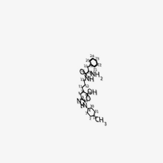 C[C@H]1CC[C@H](n2cnc(CC(CCCNC(=O)[C@@H](N)Cc3ccccc3)C(=O)O)c2)CC1